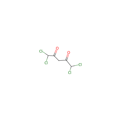 O=C(CC(=O)C(Cl)Cl)C(Cl)Cl